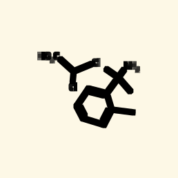 Cc1ccccc1C(C)(C)N.O=C(O)C(Cl)Cl